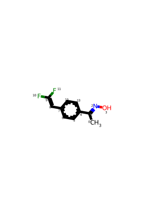 CC(=NO)c1ccc(C=C(F)F)cc1